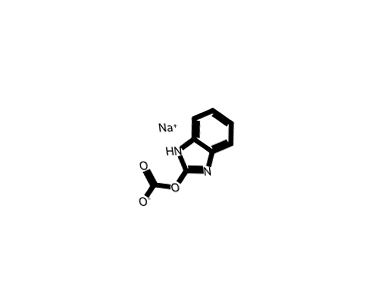 O=C([O-])Oc1nc2ccccc2[nH]1.[Na+]